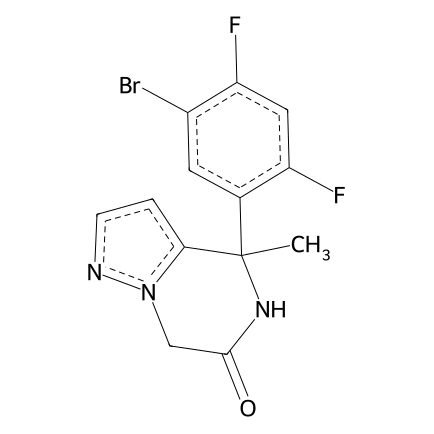 CC1(c2cc(Br)c(F)cc2F)NC(=O)Cn2nccc21